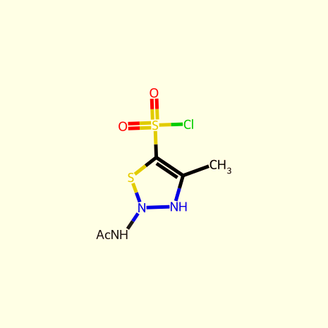 CC(=O)NN1NC(C)=C(S(=O)(=O)Cl)S1